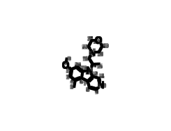 COc1cc(C)c2c3ccncc3n(C(C)CN3CCOCC3)c2c1